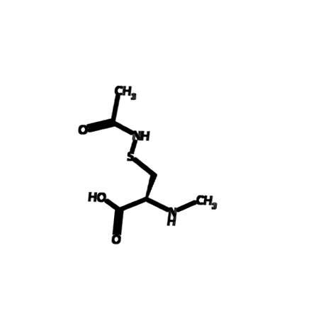 CN[C@H](CSNC(C)=O)C(=O)O